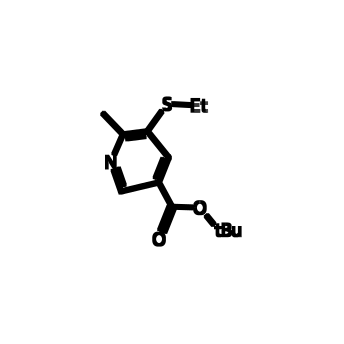 CCSc1cc(C(=O)OC(C)(C)C)cnc1C